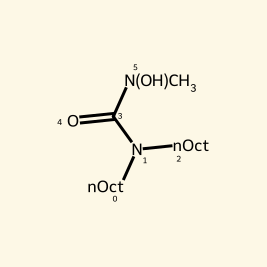 CCCCCCCCN(CCCCCCCC)C(=O)N(C)O